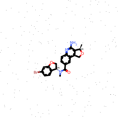 C[C@H]1OCc2c1c(N)nc1ccc(C(=O)N(C)[C@H]3COc4cc(Br)ccc43)cc21